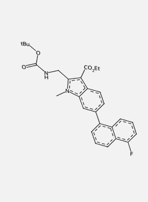 CCOC(=O)c1c(CNC(=O)OC(C)(C)C)n(C)c2cc(-c3cccc4c(F)cccc34)ccc12